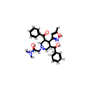 Cc1cc(C2C(C(=O)c3ccccc3)CN(CC(=O)N(C)C)CC2C(=O)c2ccccc2)no1